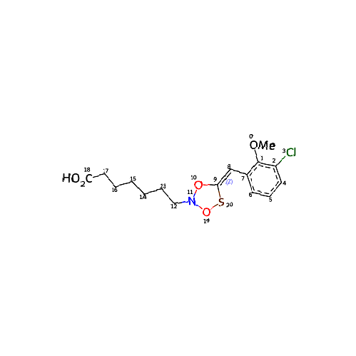 COc1c(Cl)cccc1/C=C1/ON(CCCCCCC(=O)O)OS1